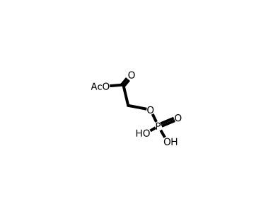 CC(=O)OC(=O)COP(=O)(O)O